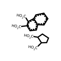 O=C(O)C1CCCC1C(=O)O.O=C(O)c1ccc2ccccc2c1C(=O)O